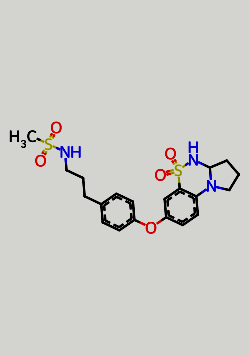 CS(=O)(=O)NCCCc1ccc(Oc2ccc3c(c2)S(=O)(=O)NC2CCCN32)cc1